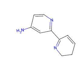 Nc1ccnc(C2=NCCC=C2)c1